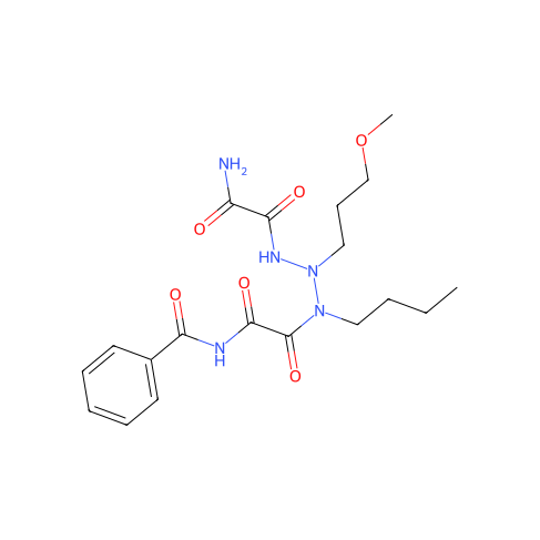 CCCCN(C(=O)C(=O)NC(=O)c1ccccc1)N(CCCOC)NC(=O)C(N)=O